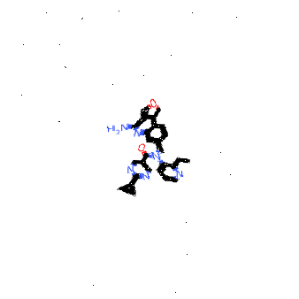 CCc1ncccc1N(Cc1ccc2c3c(c(N)nc2c1)COC3)C(=O)c1cnc(C2CC2)nc1